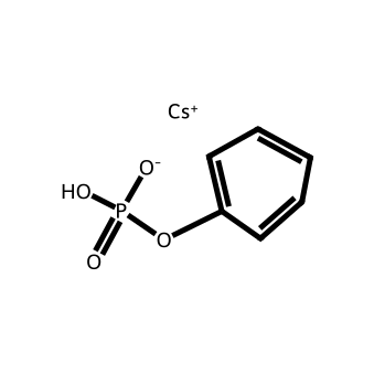 O=P([O-])(O)Oc1ccccc1.[Cs+]